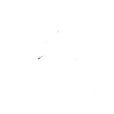 CCC(=O)[C@@H]1CC(NCCC=O)c2ccccc2N1